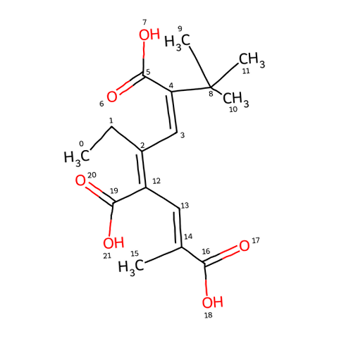 CCC(C=C(C(=O)O)C(C)(C)C)=C(C=C(C)C(=O)O)C(=O)O